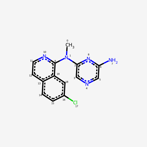 CN(c1cncc(N)n1)c1nccc2ccc(Cl)cc12